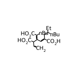 C=CC(C(=O)O)C(C=C(CC(CC)CCCC)C(=O)O)=C(CCCC)C(=O)O